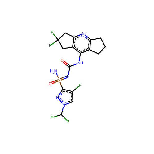 NS(=O)(=NC(=O)Nc1c2c(nc3c1CC(F)(F)C3)CCC2)c1nn(C(F)F)cc1F